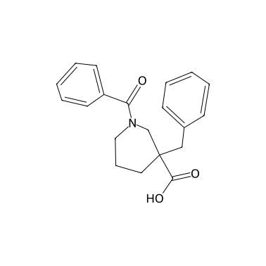 O=C(c1ccccc1)N1CCCC(Cc2ccccc2)(C(=O)O)C1